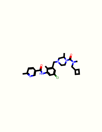 Cc1ccc(C(=O)Nc2cc(Cl)cc(CN3CCN(C(=O)N(C)CC4CCC4)C(C)C3)c2C)cn1